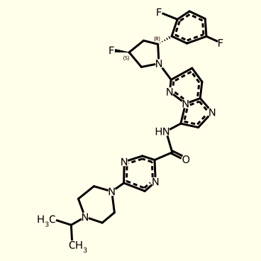 CC(C)N1CCN(c2cnc(C(=O)Nc3cnc4ccc(N5C[C@@H](F)C[C@@H]5c5cc(F)ccc5F)nn34)cn2)CC1